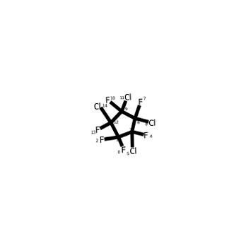 FC1(F)C(F)(Cl)C(F)(Cl)C(F)(Cl)C1(F)Cl